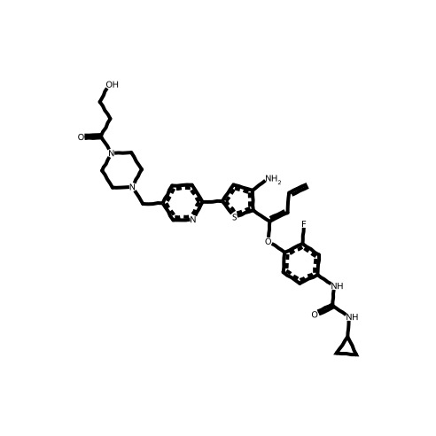 C=C/C=C(/Oc1ccc(NC(=O)NC2CC2)cc1F)c1sc(-c2ccc(CN3CCN(C(=O)CCO)CC3)cn2)cc1N